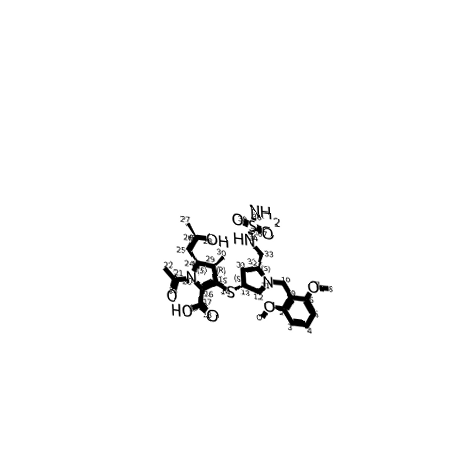 COc1cccc(OC)c1CN1C[C@@H](SC2=C(C(=O)O)N(C(C)=O)[C@@H](C[C@@H](C)O)[C@H]2C)C[C@H]1CNS(N)(=O)=O